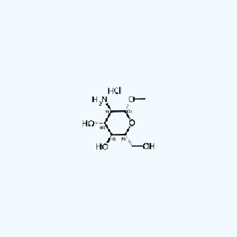 CO[C@@H]1O[C@H](CO)[C@@H](O)[C@H](O)[C@H]1N.Cl